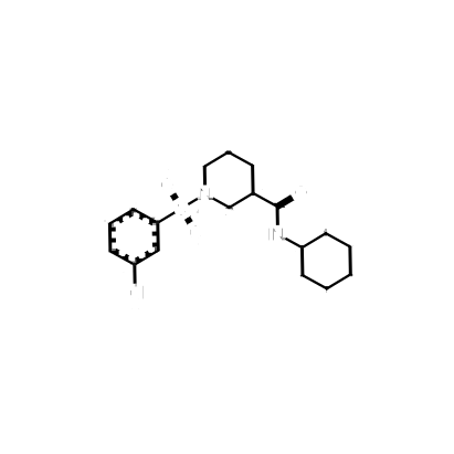 O=C(NC1CCCCC1)C1CCCN(S(=O)(=O)c2cccc(Cl)c2)C1